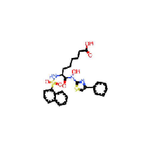 O=C(O)CCCCC[C@H](NS(=O)(=O)c1cccc2ccccc12)C(=O)N(O)c1nc(-c2ccccc2)cs1